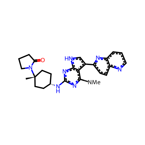 CNc1nc(N[C@H]2CC[C@@](C)(N3CCCC3=O)CC2)nc2[nH]cc(-c3ccc4ncccc4n3)c12